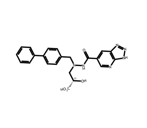 O=C(NN(Cc1ccc(-c2ccccc2)cc1)C[C@H](O)C(=O)O)c1cnc2[nH]nnc2c1